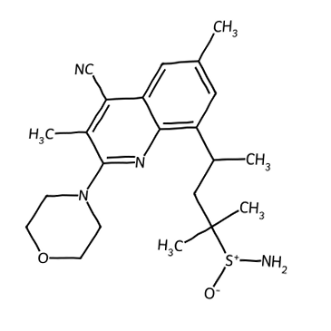 Cc1cc(C(C)CC(C)(C)[S+](N)[O-])c2nc(N3CCOCC3)c(C)c(C#N)c2c1